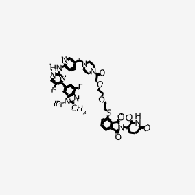 Cc1nc2c(F)cc(-c3nc(Nc4ccc(CN5CCN(C(=O)COCCOCCSc6cccc7c6C(=O)N(C6CCC(=O)NC6=O)C7=O)CC5)cn4)ncc3F)cc2n1C(C)C